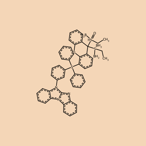 BS(B)(CC)C1([SH](B)(=O)CC)c2ccccc2Oc2c1cccc2S(c1ccccc1)(c1ccccc1)c1cccc(-n2c3ccccc3n3c4ccccc4nc23)c1